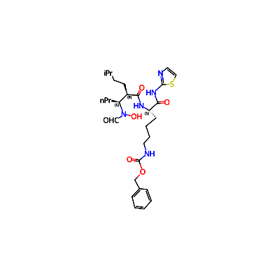 CCC[C@@H]([C@@H](CCC(C)C)C(=O)N[C@@H](CCCCNC(=O)OCc1ccccc1)C(=O)Nc1nccs1)N(O)C=O